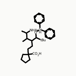 CC(=O)NC(C)C(C)C(CCC1(C(=O)O)CCCC1)C(O[SiH](c1ccccc1)c1ccccc1)C(C)(C)C